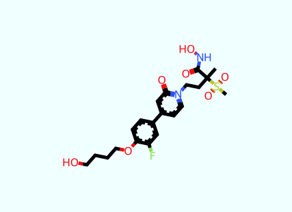 CC(CCn1ccc(-c2ccc(OCCCCO)c(F)c2)cc1=O)(C(=O)NO)S(C)(=O)=O